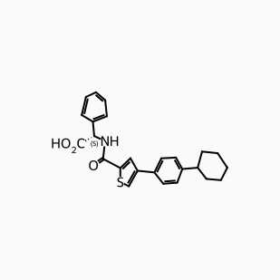 O=C(N[C@H](C(=O)O)c1ccccc1)c1cc(-c2ccc(C3CCCCC3)cc2)cs1